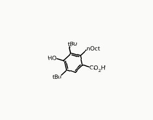 CCCCCCCCc1c(C(=O)O)cc(C(C)(C)C)c(O)c1C(C)(C)C